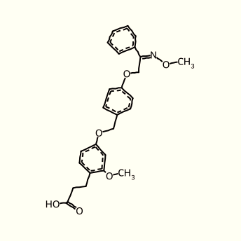 CO/N=C(\COc1ccc(COc2ccc(CCC(=O)O)c(OC)c2)cc1)c1ccccc1